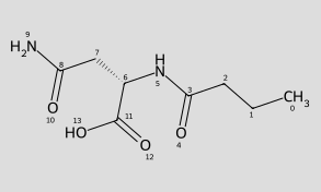 CCCC(=O)N[C@@H](CC(N)=O)C(=O)O